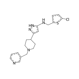 Clc1ccc(CNc2cc(C3CCN(Cc4cccnc4)CC3)n[nH]2)s1